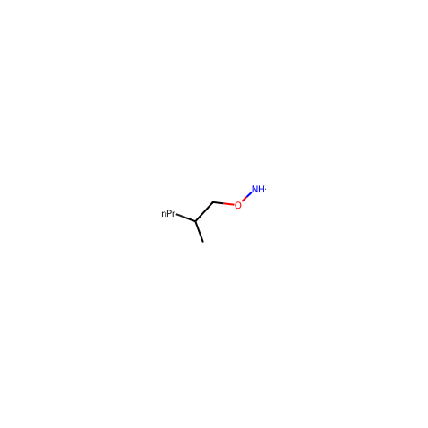 CCCC(C)CO[NH]